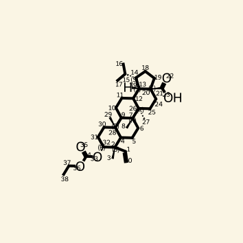 C=C[C@@]1(C)C2CC[C@]3(C)C(CCC4[C@@H]5[C@H](C(C)C)CC[C@]5(C(=O)O)CC[C@]43C)[C@@]2(C)CC[C@H]1OC(=O)OCC